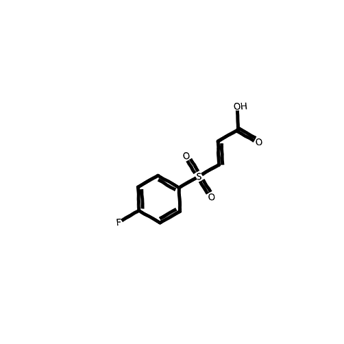 O=C(O)C=CS(=O)(=O)c1ccc(F)cc1